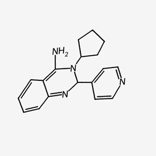 NC1=c2ccccc2=NC(c2ccncc2)N1C1CCCC1